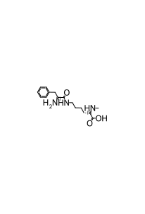 CN[C@@H](CCCCNC(=O)[C@@H](N)Cc1ccccc1)C(=O)O